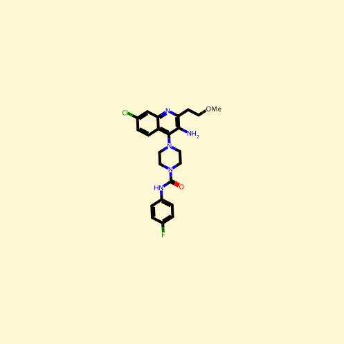 COCCc1nc2cc(Cl)ccc2c(N2CCN(C(=O)Nc3ccc(F)cc3)CC2)c1N